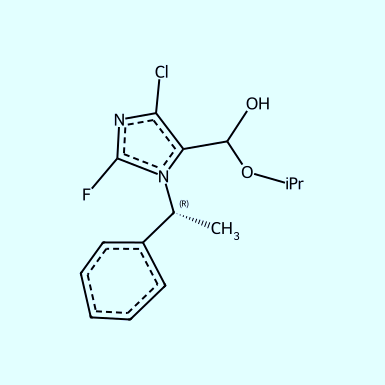 CC(C)OC(O)c1c(Cl)nc(F)n1[C@H](C)c1ccccc1